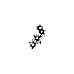 COC(=O)C(CC(C)C)Nc1cc(C)nc(Nc2ccc3ncccc3c2)n1